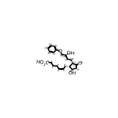 O=C(O)CCC/C=C\C[C@H]1[C@@H](O)CC(=O)[C@@H]1CC[C@@H](O)COc1ccccc1